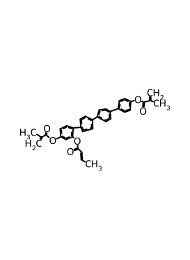 C=C(C)C(=O)Oc1ccc(-c2ccc(-c3ccc(-c4ccc(OC(=O)C(=C)C)cc4OC(=O)/C=C/C)cc3)cc2)cc1